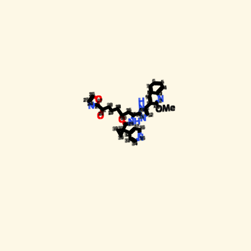 COc1nc2ccccc2cc1-c1cnc(C(CCCCCC(=O)c2ncco2)NC(=O)C2(c3ccncc3)CC2)[nH]1